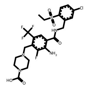 CCS(=O)(=O)c1ccc(Cl)cc1CNC(=O)c1cc(C(F)(F)F)c(CN2CCN(C(=O)O)CC2)c(F)c1N